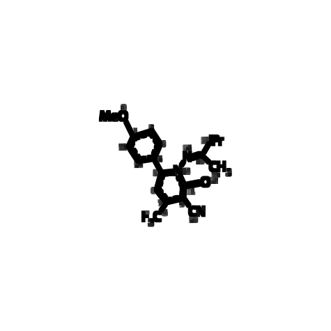 COc1ccc(-c2cc(C(F)(F)F)c(C#N)c(=O)n2N=C(C)C(C)C)cc1